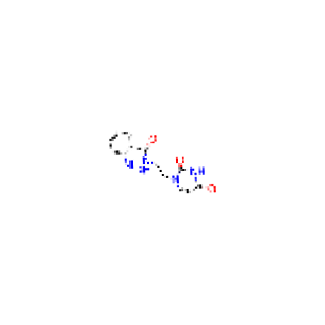 Nc1ccccc1C(=O)NCCn1ccc(=O)[nH]c1=O